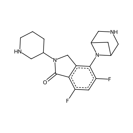 O=C1c2c(F)cc(F)c(N3C4CNCC3C4)c2CN1C1CCCNC1